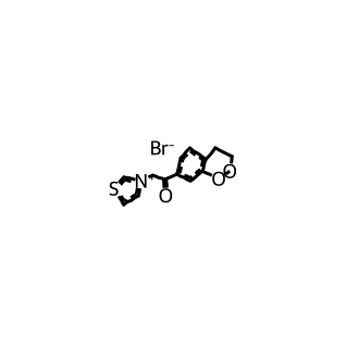 O=C(C[n+]1ccsc1)c1ccc2c(c1)OOCC2.[Br-]